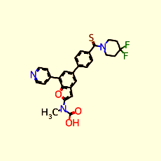 CN(C(=O)O)c1cc2cc(-c3ccc(C(=S)N4CCC(F)(F)CC4)cc3)cc(-c3ccncc3)c2o1